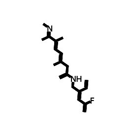 C=C/C(=C\C(=C)F)CNC(=C)C/C(C)=C/C=C(C)/C(C)=N/C